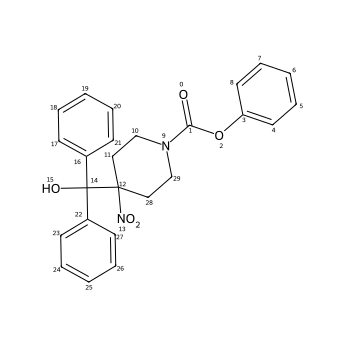 O=C(Oc1ccccc1)N1CCC([N+](=O)[O-])(C(O)(c2ccccc2)c2ccccc2)CC1